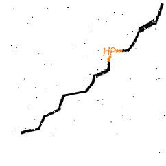 CC=CCPCCCCCCCC